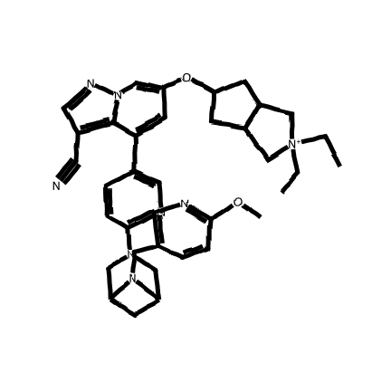 CC[N+]1(CC)CC2CC(Oc3cc(-c4ccc(N5CC6CC(C5)N6Cc5ccc(OC)nc5)nc4)c4c(C#N)cnn4c3)CC2C1